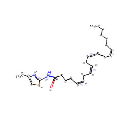 CCCCC/C=C\C/C=C\C/C=C\C/C=C\CCCC(=O)Nc1nc(C)cs1